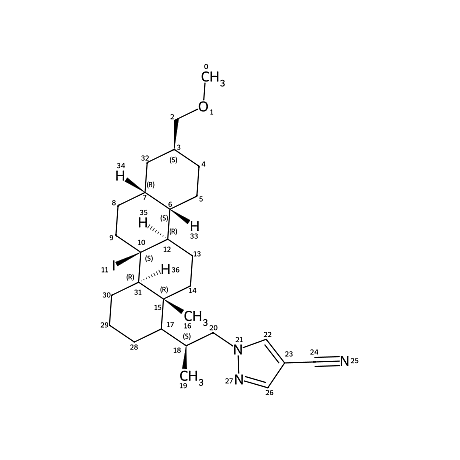 COC[C@H]1CC[C@H]2[C@H](CC[C@]3(I)[C@@H]2CC[C@]2(C)C([C@H](C)Cn4cc(C#N)cn4)CCC[C@@H]32)C1